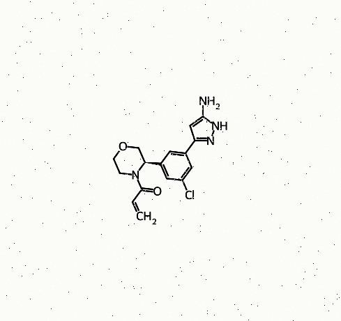 C=CC(=O)N1CCOC[C@H]1c1cc(Cl)cc(-c2cc(N)[nH]n2)c1